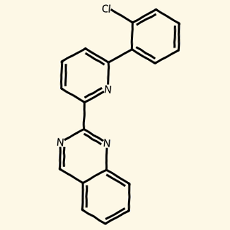 Clc1ccccc1-c1cccc(-c2ncc3ccccc3n2)n1